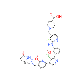 COc1nc(-c2ccnc(-c3cccc(Nc4nccc(CN5CCC(C(=O)O)CC5)c4F)c3OC)c2Cl)ccc1CNC[C@@H]1CCC(=O)N1